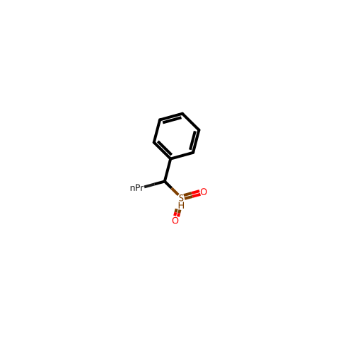 CCCC(c1ccccc1)[SH](=O)=O